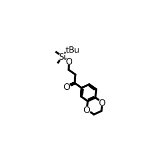 CC(C)(C)[Si](C)(C)OCCC(=O)c1ccc2c(c1)OCCO2